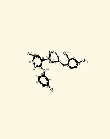 Cc1ccc(C[C@@H]2CON=C(c3cc(Cl)nnc3Oc3cccc(Cl)c3)N2)c(Cl)c1